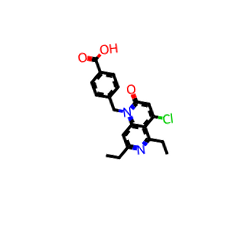 CCc1cc2c(c(Cl)cc(=O)n2Cc2ccc(C(=O)O)cc2)c(CC)n1